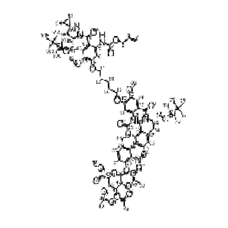 C=CCOC(=O)Nc1cc(OCCCCCOc2cc(NC(=O)OCc3ccc(O[C@@H]4O[C@H](C(=O)OC)[C@@H](OC(C)=O)[C@H](OC(C)=O)[C@H]4OC(C)=O)c([N+](=O)[O-])c3)c(C(=O)N3Cc4ccccc4C[C@H]3CO[Si](C)(C)C(C)(C)C)cc2OC)c(OC)cc1C(=O)N1CC2(CC2)C[C@H]1CO[Si](C)(C)C(C)(C)C